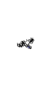 CO/N=C1\C[C@@H](CCCC(=O)Nc2ncc(C)s2)C2C3CCc4c(cc(CN5CCOCC5)c(O)c4[N+](=O)[O-])C3CC[C@]12C